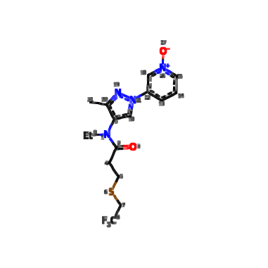 CCN(C(=O)CCSCC(F)(F)F)c1cn(-c2ccc[n+]([O-])c2)nc1C